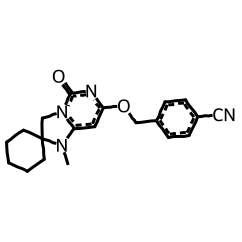 CN1c2cc(OCc3ccc(C#N)cc3)nc(=O)n2CC12CCCCC2